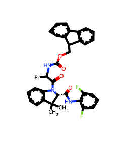 CC(C)C(NC(=O)OCC1c2ccccc2-c2ccccc21)C(=O)N1c2ccccc2C(C)(C)[C@H]1C(=O)Nc1c(F)cccc1F